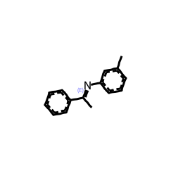 C/C(=N\c1cccc(C)c1)c1ccccc1